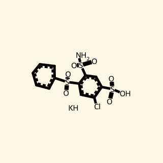 NS(=O)(=O)c1cc(S(=O)(=O)O)c(Cl)cc1S(=O)(=O)c1ccccc1.[KH]